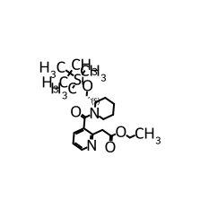 CCOC(=O)Cc1ncccc1C(=O)N1CCCC[C@H]1CO[Si](C)(C)C(C)(C)C